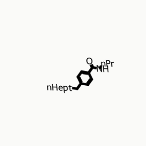 [CH2]CCNC(=O)c1ccc(CCCCCCCC)cc1